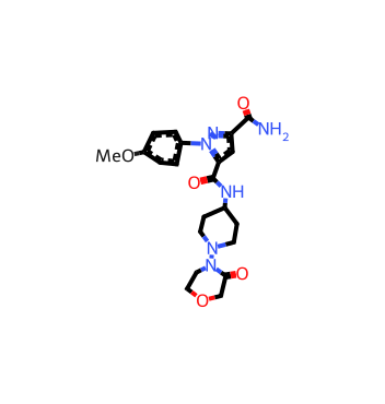 COc1ccc(-n2nc(C(N)=O)cc2C(=O)NC2CCN(N3CCOCC3=O)CC2)cc1